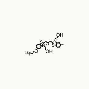 CC(/C=C1\Sc2ccc(C)cc2N1CCO)=C\c1sc2ccc(OCC[18F])cc2[n+]1CCO